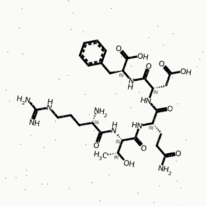 C[C@@H](O)[C@H](NC(=O)[C@@H](N)CCCNC(=N)N)C(=O)N[C@@H](CCC(N)=O)C(=O)N[C@@H](CC(=O)O)C(=O)N[C@@H](Cc1ccccc1)C(=O)O